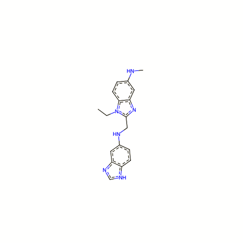 CCn1c(CNc2ccc3[nH]cnc3c2)nc2cc(NC)ccc21